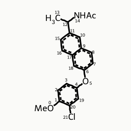 COc1ccc(Oc2ccc3cc(C(C)NC(C)=O)ccc3c2)cc1Cl